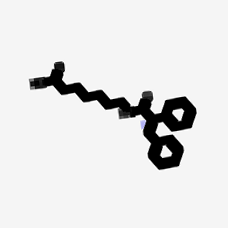 O=C(O)CCCCCCNC(=O)/C(=C/c1ccccc1)c1ccccc1